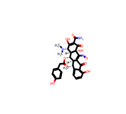 C[C@H]1c2cccc(O)c2C(=O)C2=C(N=O)[C@]3(O)C(=O)C(C(N)=O)=C(O)[C@@H](N(C)C)[C@@H]3[C@@H](OC(=O)Cc3ccc(O)cc3)[C@@H]21